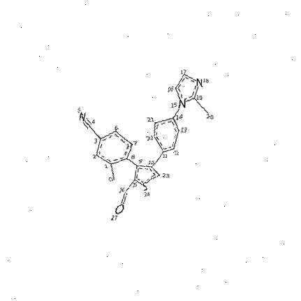 Cc1cc(C#N)ccc1-c1c(-c2ccc(-n3ccnc3C)cc2)csc1C=O